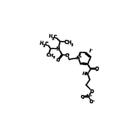 CC(C)N(C(=O)OC[n+]1cccc(C(=O)NCCO[N+](=O)[O-])c1)C(C)C.[I-]